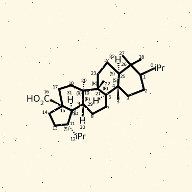 CC(C)C1CC[C@]2(C)[C@H]3CC[C@@H]4[C@H]5[C@H](C(C)C)CC[C@]5(C(=O)O)CC[C@@]4(C)[C@]3(C)CC[C@H]2C1(C)C